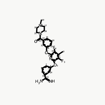 Cc1c(F)c(Oc2cccc(C(=N)N)c2)nc(Oc2cccc(C(=O)N3CCN(C)CC3)c2)c1F